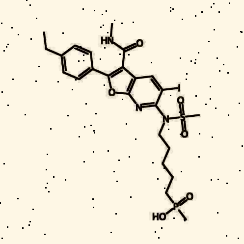 CCc1ccc(-c2oc3nc(N(CCCCCP(C)(=O)O)S(C)(=O)=O)c(I)cc3c2C(=O)NC)cc1